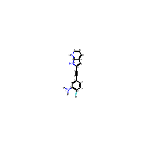 CN(C)c1cc(C#Cc2cc3cccnc3[nH]2)ccc1F